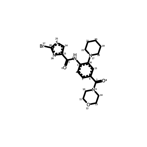 O=C(Nc1ccc(C(=O)N2CCOCC2)cc1N1CCCCC1)c1csc(Br)n1